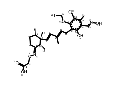 CC(/C=C/[C@@]1(C)[C@H](C)CCC(=NOCC(=O)O)[C@@H]1C)=C\Cc1c(O)c(/C=N/O)c(C)c(Cl)c1OCF